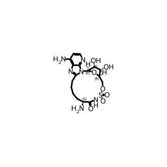 Nc1ccnc2c1nc1n2[C@@H]2O[C@H](COS(=O)(=O)NC(=O)[C@@H](N)CCCC1)[C@@H](O)[C@H]2O